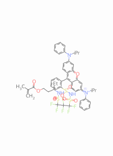 C=C(C)C(=O)OCCC(CC)NS(=O)(=O)C(F)(F)C(F)(F)C(F)(F)S(=O)(=O)NS(=O)(=O)c1ccccc1-c1c2cc/c(=[N+](\c3ccccc3)C(C)C)cc-2oc2cc(N(c3ccccc3)C(C)C)ccc12